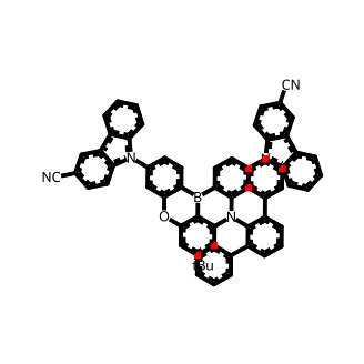 CC(C)(C)c1cc2c3c(c1)N(c1c(-c4ccccc4)cccc1-c1ccccc1)c1cc(-n4c5ccccc5c5cc(C#N)ccc54)ccc1B3c1ccc(-n3c4ccccc4c4cc(C#N)ccc43)cc1O2